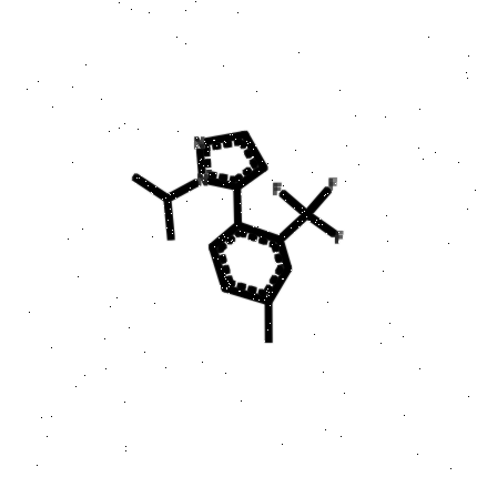 Cc1ccc(-c2ccnn2C(C)C)c(C(F)(F)F)c1